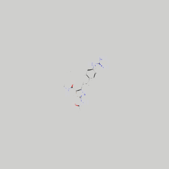 CNC(=O)c1sc(NC(C)=O)nc1CCc1ccc(NC(=N)N)cc1.Cl